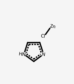 [Cl][Zn].c1c[nH]cn1